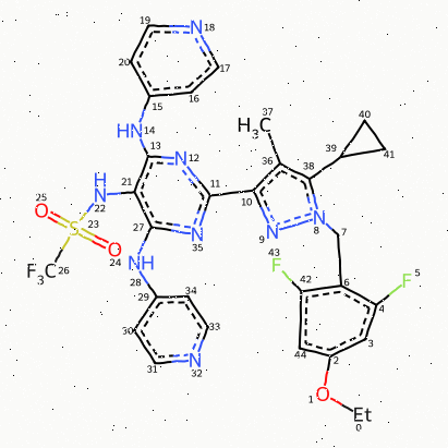 CCOc1cc(F)c(Cn2nc(-c3nc(Nc4ccncc4)c(NS(=O)(=O)C(F)(F)F)c(Nc4ccncc4)n3)c(C)c2C2CC2)c(F)c1